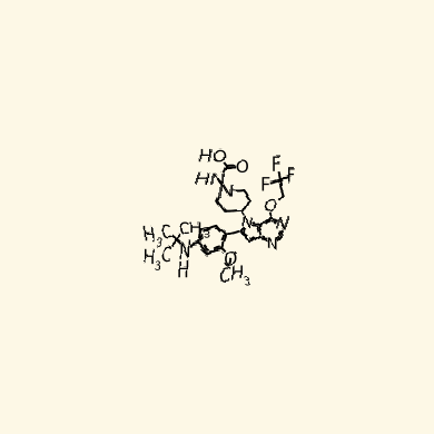 COc1cc(NC(C)(C)C)ccc1-c1cc2ncnc(OCC(F)(F)F)c2n1C1CCN(NC(=O)O)CC1